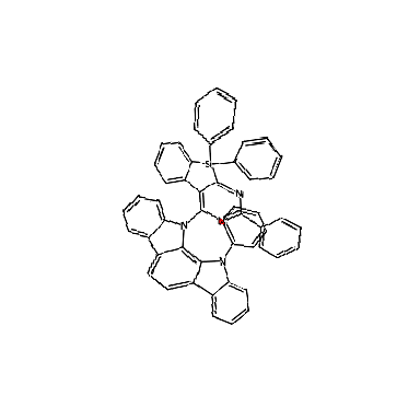 c1ccc(-c2nc(-n3c4ccccc4c4ccc5c6ccccc6n(-c6ccccc6)c5c43)c3c(n2)[Si](c2ccccc2)(c2ccccc2)c2ccccc2-3)cc1